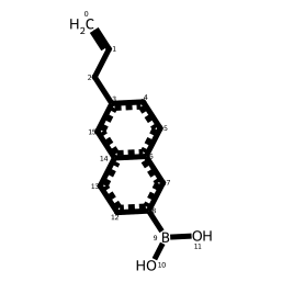 C=CCc1ccc2cc(B(O)O)ccc2c1